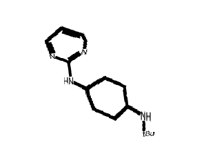 CC(C)(C)NC1CCC(Nc2ncccn2)CC1